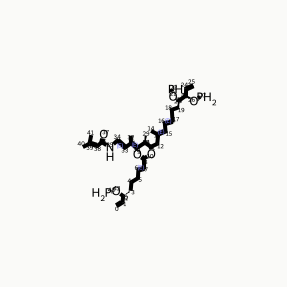 C=C[C@@H](CCC/C=C/C(=O)OC(C/C(C)=C/C=C/CC[C@@H](OP)[C@@H](C=C)OP)[C@H](C)/C=C(C)/C=C/NC(=O)C=C(C)C)OP